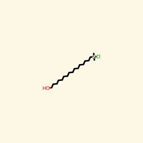 C[Si](C)(Cl)CCCCCCCCCCCCCCCCO